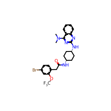 CN(C)c1nc(N[C@H]2CC[C@@H](NC(=O)Cc3ccc(Br)cc3OC(F)(F)F)CC2)nc2ccccc12